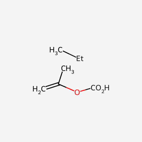 C=C(C)OC(=O)O.CCC